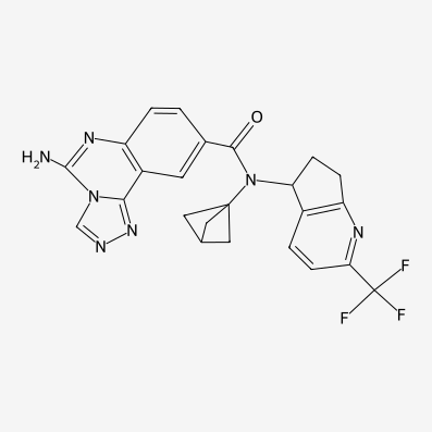 Nc1nc2ccc(C(=O)N(C3CCc4nc(C(F)(F)F)ccc43)C34CC(C3)C4)cc2c2nncn12